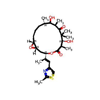 CC(=Cc1csc(C)n1)[C@@H]1C[C@@H]2O[C@@H]2CCC[C@H](C)C(O)C(C)C(=O)C(C)(C)[C@@H](O)C(C)C(=O)O1